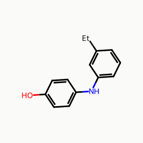 CCc1cccc(Nc2ccc(O)cc2)c1